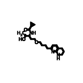 C=C(O)C(CCOCCCCc1ccc2c(n1)NCCC2)NC(=O)C1CC1